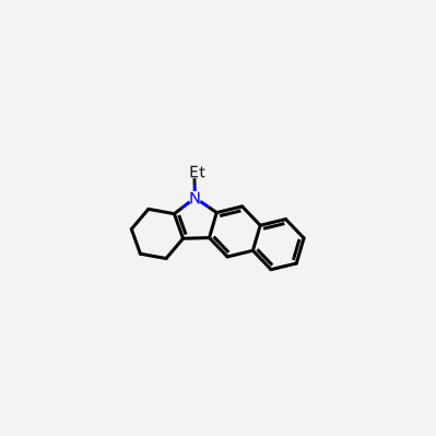 CCn1c2c(c3cc4ccccc4cc31)CCCC2